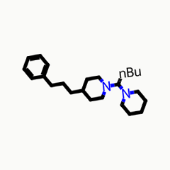 CCCCC(N1CCCCC1)N1CCC(CCCc2ccccc2)CC1